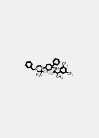 C[C@H](C(=O)NC1(c2ccccc2)CCC(N2CCN(Cc3ccccc3)CC2(C)C)CC1)c1cc(C(F)(F)F)cc(C(F)(F)F)c1